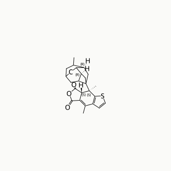 CC1=C2C(=O)OC(=O)[C@@H]2[C@@](C)(C23C[C@@H]4C(C)CC5CC4[C@@H](C2)C3C5)c2sccc21